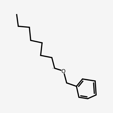 CCCCCCC[CH]OCc1ccccc1